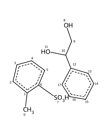 Cc1ccccc1S(=O)(=O)O.OCC(O)c1ccccc1